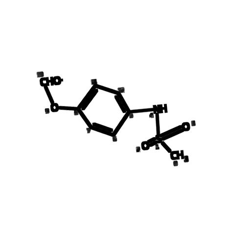 CS(=O)(=O)Nc1ccc(O[C]=O)cc1